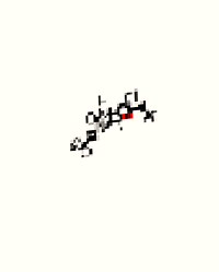 CC[C@H](C)C1=CN(C23CC(C(=O)OC)(C2)C3)C(=O)NC1(C)c1ccc(C2CC2C(C)(C)C)c(Cl)c1